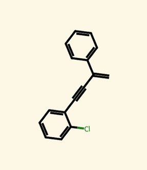 C=C(C#Cc1ccccc1Cl)c1ccccc1